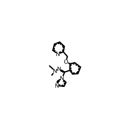 CN(C)/N=C(/c1ccccc1OCc1ccccn1)n1ccnc1